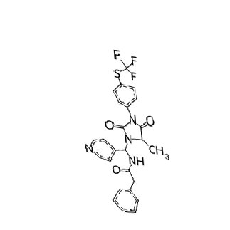 CC1C(=O)N(c2ccc(SC(F)(F)F)cc2)C(=O)N1C(NC(=O)Cc1ccccc1)c1ccncc1